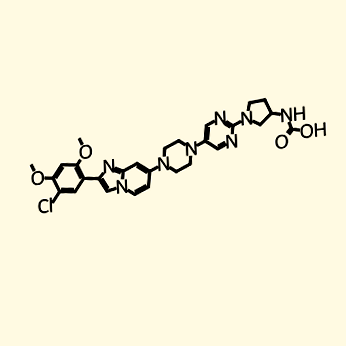 COc1cc(OC)c(-c2cn3ccc(N4CCN(c5cnc(N6CCC(NC(=O)O)C6)nc5)CC4)cc3n2)cc1Cl